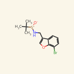 CC(C)(C)[S@+]([O-])NCc1coc2c(Br)cccc12